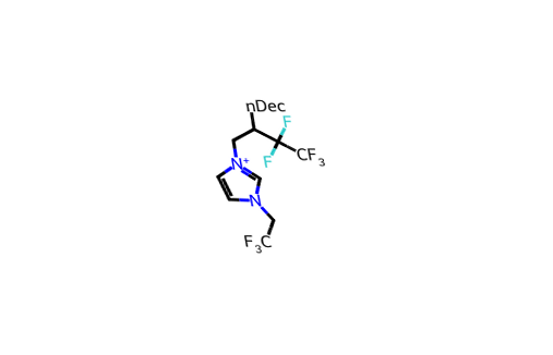 CCCCCCCCCCC(C[n+]1ccn(CC(F)(F)F)c1)C(F)(F)C(F)(F)F